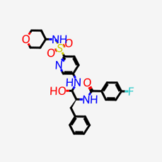 O=C(N[C@@H](Cc1ccccc1)C(O)Nc1ccc(S(=O)(=O)NC2CCOCC2)nc1)c1ccc(F)cc1